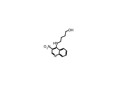 O=[N+]([O-])c1cnc2ccccc2c1NCCCCO